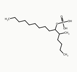 CCCCCCCCCC(OP(=O)(O)O)C(C)CCCC